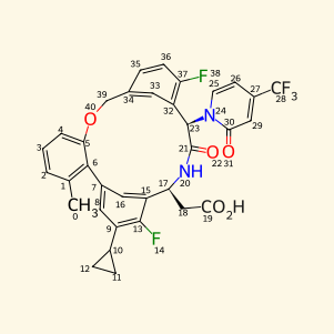 Cc1cccc2c1-c1cc(C3CC3)c(F)c(c1)[C@H](CC(=O)O)NC(=O)[C@H](n1ccc(C(F)(F)F)cc1=O)c1cc(ccc1F)CO2